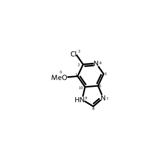 COc1c(Cl)ncc2nc[nH]c12